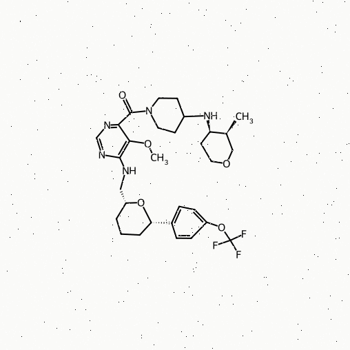 COc1c(NC[C@H]2CCC[C@@H](c3ccc(OC(F)(F)F)cc3)O2)ncnc1C(=O)N1CCC(N[C@@H]2CCOC[C@@H]2C)CC1